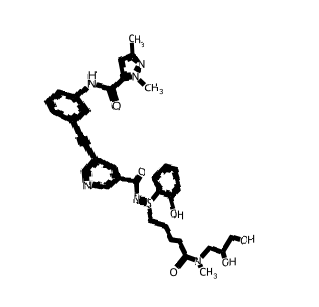 Cc1cc(C(=O)Nc2cccc(C#Cc3cncc(C(=O)N=S(CCCCC(=O)N(C)CC(O)CO)c4ccccc4O)c3)c2)n(C)n1